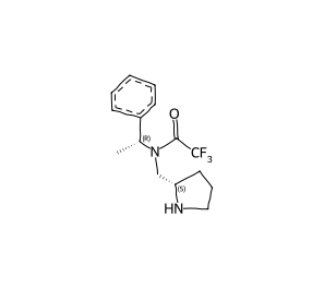 C[C@H](c1ccccc1)N(C[C@@H]1CCCN1)C(=O)C(F)(F)F